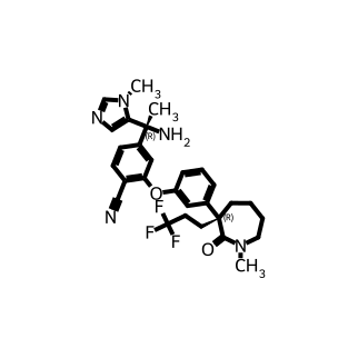 CN1CCCC[C@@](CCC(F)(F)F)(c2cccc(Oc3cc([C@@](C)(N)c4cncn4C)ccc3C#N)c2)C1=O